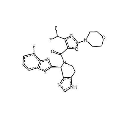 O=C(c1oc(N2CCOCC2)nc1C(F)F)N1CCc2[nH]cnc2[C@H]1c1nc2c(F)cccc2s1